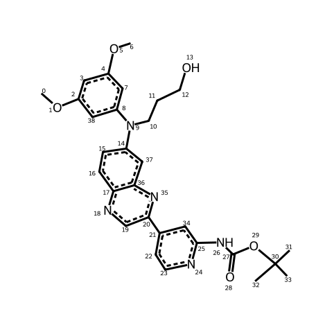 COc1cc(OC)cc(N(CCCO)c2ccc3ncc(-c4ccnc(NC(=O)OC(C)(C)C)c4)nc3c2)c1